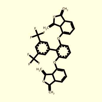 C=C1OC(=C)C2C(Oc3cccc(OC4=CC=CC5C(=C)OC(=C)C45)c3-c3cc(C(F)(F)F)cc(C(F)(F)F)c3)=CC=CC12